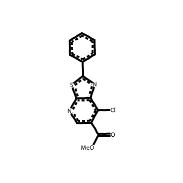 COC(=O)c1cnc2sc(-c3ccccc3)nc2c1Cl